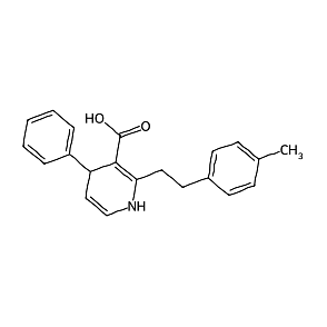 Cc1ccc(CCC2=C(C(=O)O)C(c3ccccc3)C=CN2)cc1